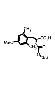 COc1cc(C)c(C[C@H](NC(=O)OC(C)(C)C)C(=O)O)c(C)c1